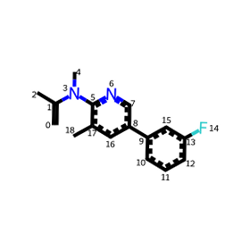 C=C(C)N(C)c1ncc(-c2cccc(F)c2)cc1C